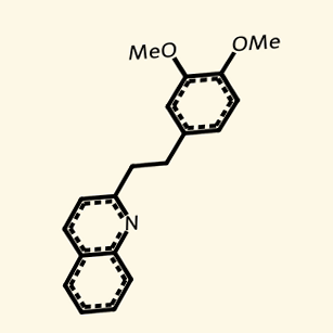 COc1ccc(CCc2ccc3ccccc3n2)cc1OC